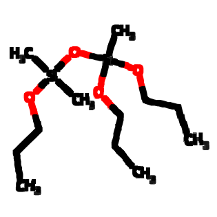 CCCO[Si](C)(C)O[Si](C)(OCCC)OCCC